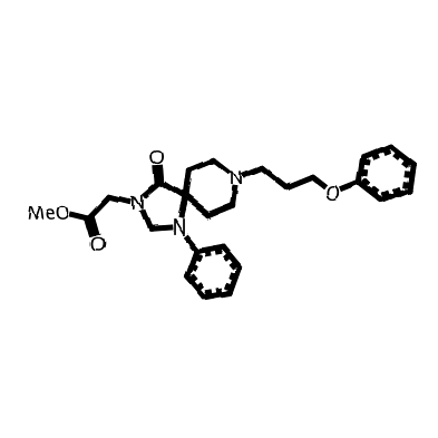 COC(=O)CN1CN(c2ccccc2)C2(CCN(CCCOc3ccccc3)CC2)C1=O